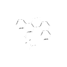 CN(C)S(=O)(=O)Nc1cc(-c2c(O)ccc3ccccc23)c(O)c2ccccc12